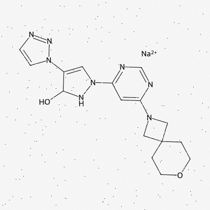 OC1NN(c2cc(N3CC4(CCOCC4)C3)ncn2)C=C1n1ccnn1.[Na+2]